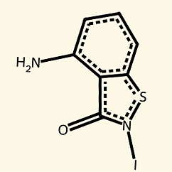 Nc1cccc2sn(I)c(=O)c12